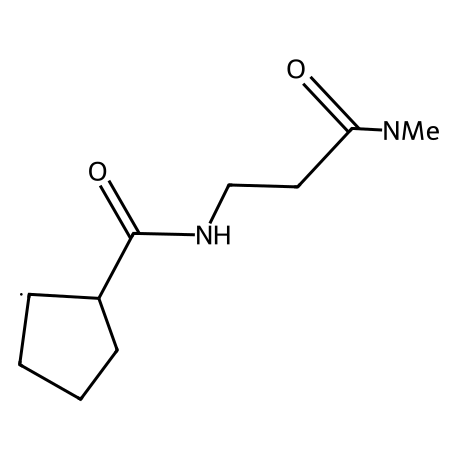 CNC(=O)CCNC(=O)C1[CH]CCC1